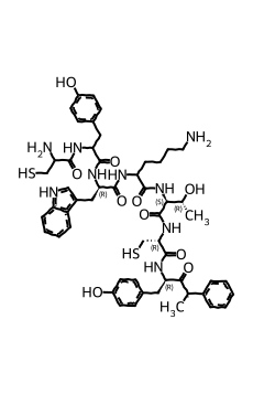 C[C](C(=O)[C@@H](Cc1ccc(O)cc1)NC(=O)[C@H](CS)NC(=O)[C@@H](NC(=O)C(CCCCN)NC(=O)[C@@H](Cc1c[nH]c2ccccc12)NC(=O)C(Cc1ccc(O)cc1)NC(=O)C(N)CS)[C@@H](C)O)c1ccccc1